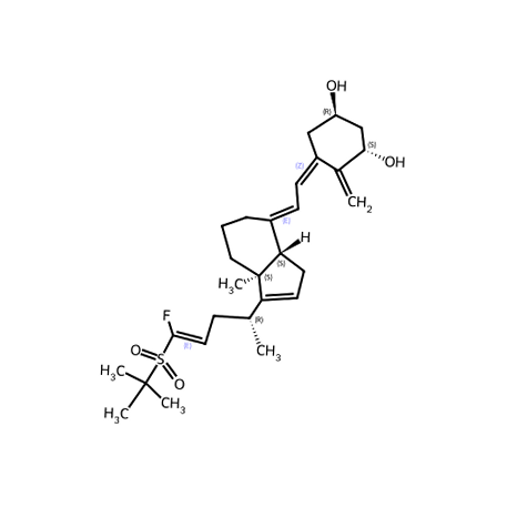 C=C1/C(=C\C=C2/CCC[C@]3(C)C([C@H](C)C/C=C(\F)S(=O)(=O)C(C)(C)C)=CC[C@@H]23)C[C@@H](O)C[C@@H]1O